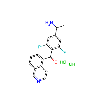 CC(N)c1cc(F)c(C(=O)c2cccc3cnccc23)c(F)c1.Cl.Cl